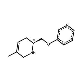 CC1=CC[C@@H](COc2cccnc2)NC1